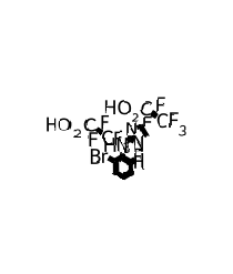 Fc1cccc(Br)c1NC1=NCCN1.O=C(O)C(F)(F)C(F)(F)F.O=C(O)C(F)(F)C(F)(F)F